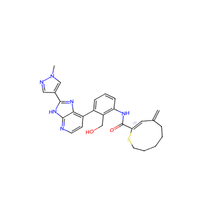 C=C1/C=C(/C(=O)Nc2cccc(-c3ccnc4[nH]c(-c5cnn(C)c5)nc34)c2CO)SCCCCC1